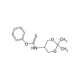 CC1(C)OCC(NC(=S)Oc2ccccc2)CO1